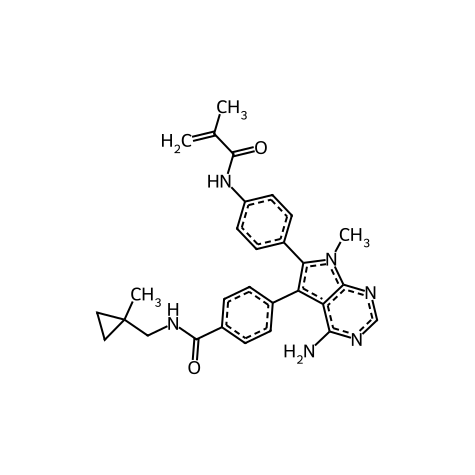 C=C(C)C(=O)Nc1ccc(-c2c(-c3ccc(C(=O)NCC4(C)CC4)cc3)c3c(N)ncnc3n2C)cc1